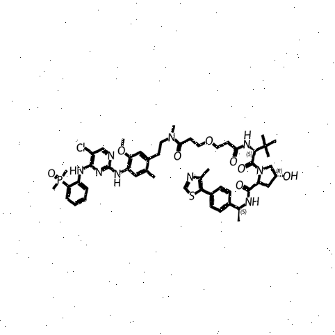 COc1cc(CCN(C)C(=O)CCOCCC(=O)N[C@H](C(=O)N2C[C@H](O)CC2C(=O)N[C@@H](C)c2ccc(-c3scnc3C)cc2)C(C)(C)C)c(C)cc1Nc1ncc(Cl)c(Nc2ccccc2P(C)(C)=O)n1